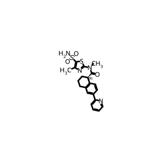 Cc1nc(N(C)C(=O)[C@@H]2CCCc3cc(-c4ccccn4)ccc32)sc1S(N)(=O)=O